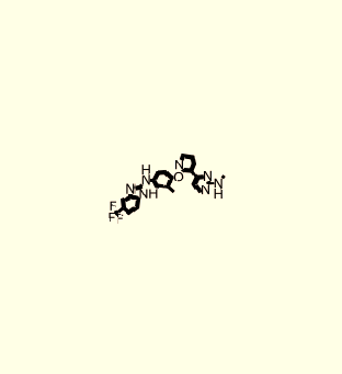 CNc1nccc(-c2cccnc2Oc2ccc(Nc3nc4cc(C(F)(F)F)ccc4[nH]3)cc2C)n1